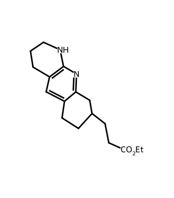 CCOC(=O)CCC1CCc2cc3c(nc2C1)NCCC3